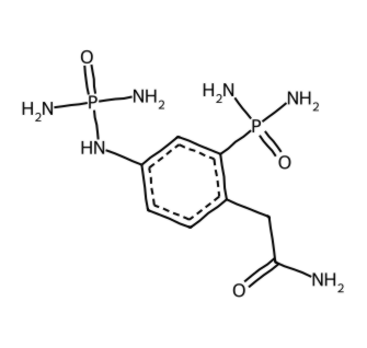 NC(=O)Cc1ccc(NP(N)(N)=O)cc1P(N)(N)=O